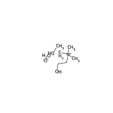 CO.C[N+](C)(C)CCO.O.[Cl-]